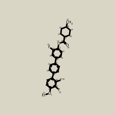 CCOc1ccc(-c2ccc(-c3ccc(OC(=O)C4CCC(C)CC4)c(F)c3)cc2)c(F)c1F